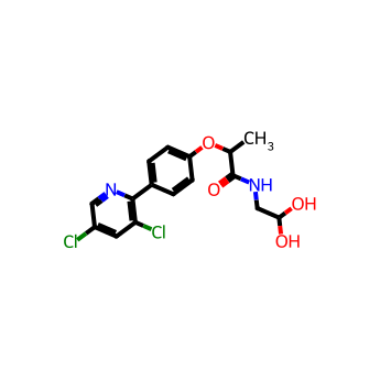 CC(Oc1ccc(-c2ncc(Cl)cc2Cl)cc1)C(=O)NCC(O)O